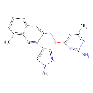 Cc1nc(N)nc(OCc2cc3cccc(C)c3nc2-c2cnn(C)c2)n1